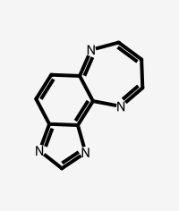 c1cnc2ccc3ncnc3c2nc1